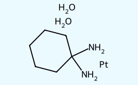 NC1(N)CCCCC1.O.O.[Pt]